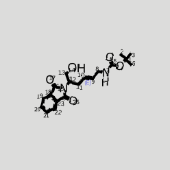 CC(C)(C)OC(=O)NC/C=C/CC(CO)N1C(=O)c2ccccc2C1=O